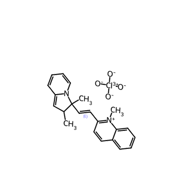 CC1C=C2C=CC=CN2C1(C)/C=C/c1ccc2ccccc2[n+]1C.[O-][Cl+3]([O-])([O-])[O-]